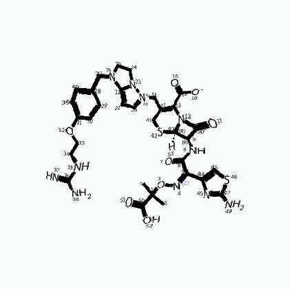 CC(C)(O/N=C(\C(=O)N[C@@H]1C(=O)N2C(C(=O)[O-])=C(C[n+]3ccc4n3CCN4Cc3ccc(OCCNC(=N)N)cc3)CS[C@H]12)c1csc(N)n1)C(=O)O